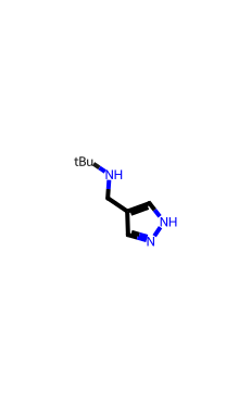 CC(C)(C)NCc1cn[nH]c1